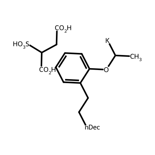 CCCCCCCCCCCCc1ccccc1O[CH](C)[K].O=C(O)CC(C(=O)O)S(=O)(=O)O